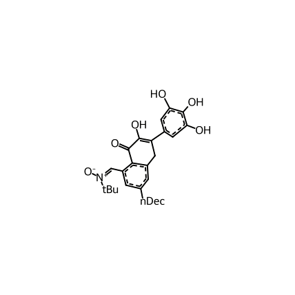 CCCCCCCCCCc1cc(/C=[N+](/[O-])C(C)(C)C)c2c(c1)CC(c1cc(O)c(O)c(O)c1)=C(O)C2=O